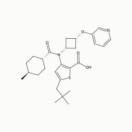 CC(C)(C)Cc1cc(N(C(=O)[C@H]2CC[C@H](C)CC2)[C@H]2C[C@@H](Oc3cccnc3)C2)c(C(=O)O)s1